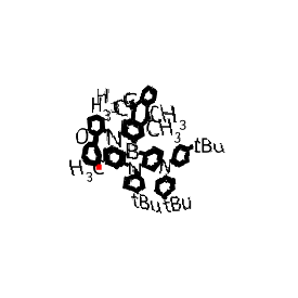 Cc1cc2c3c(c1)N(c1cccc4oc5ccccc5c14)c1cc4c(cc1B3c1ccc(N(c3ccc(C(C)(C)C)cc3)c3ccc(C(C)(C)C)cc3)cc1N2c1ccc(C(C)(C)C)cc1)C(C)(C)c1ccccc1C4(C)C